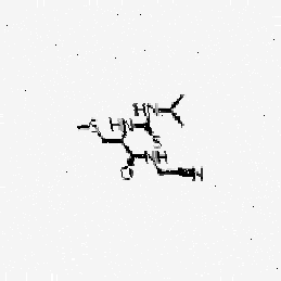 CSCC(NC(=S)NC(C)C)C(=O)NCC#N